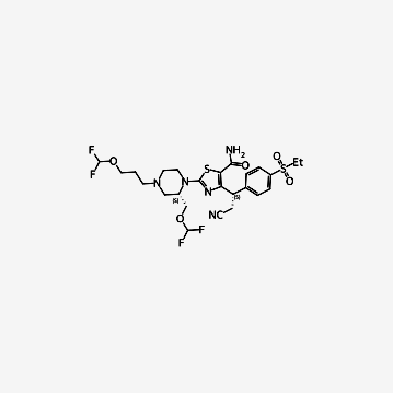 CCS(=O)(=O)c1ccc([C@H](CC#N)c2nc(N3CCN(CCCOC(F)F)C[C@H]3COC(F)F)sc2C(N)=O)cc1